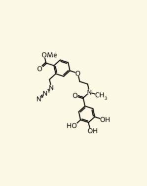 COC(=O)c1ccc(OCCN(C)C(=O)c2cc(O)c(O)c(O)c2)cc1CN=[N+]=[N-]